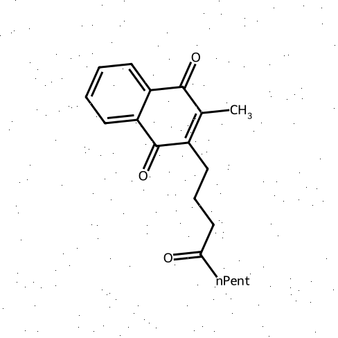 CCCCCC(=O)CCCC1=C(C)C(=O)c2ccccc2C1=O